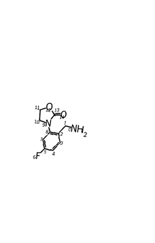 NCc1ccc(F)cc1N1CCOC1=O